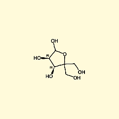 OCC1(CO)OC(O)[C@H](O)[C@@H]1O